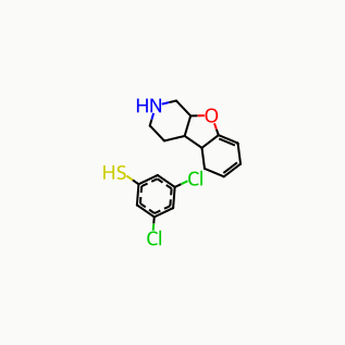 C1=CCC2C(=C1)OC1CNCCC12.Sc1cc(Cl)cc(Cl)c1